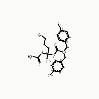 CCCC[C@@](C)(OC(N)=O)OC(=O)N(Cc1ccc(Cl)cc1)Cc1ccc(Cl)cc1